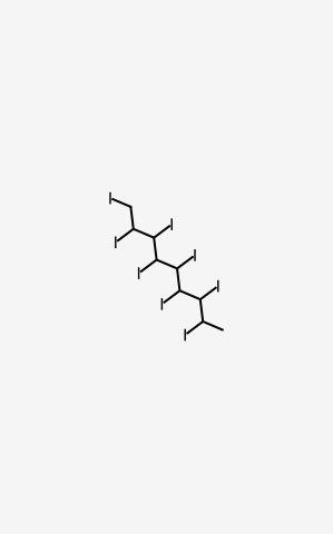 CC(I)C(I)C(I)C(I)C(I)C(I)C(I)CI